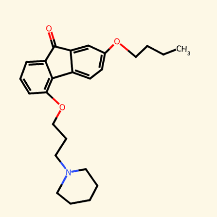 CCCCOc1ccc2c(c1)C(=O)c1cccc(OCCCN3CCCCC3)c1-2